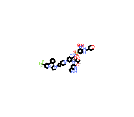 O=C(NS(=O)(=O)c1ccc(NCC2CCOCC2)c([N+](=O)[O-])c1)c1ccc(N2CCC3(CC2)CC(N2CCC[C@H]2c2ccccc2-c2cc(C(F)(F)F)ccn2)C3)cc1N1c2cc3cc[nH]c3nc2O[C@@H]2COC[C@H]21